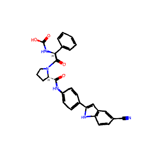 N#Cc1ccc2[nH]c(-c3ccc(NC(=O)[C@@H]4CCCN4C(=O)[C@@H](NC(=O)O)c4ccccc4)cc3)cc2c1